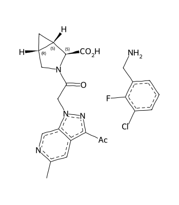 CC(=O)c1nn(CC(=O)N2C[C@@H]3C[C@@H]3[C@H]2C(=O)O)c2cnc(C)cc12.NCc1cccc(Cl)c1F